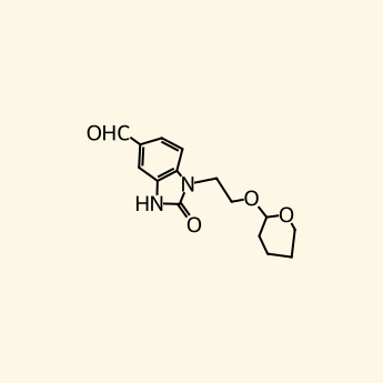 O=Cc1ccc2c(c1)[nH]c(=O)n2CCOC1CCCCO1